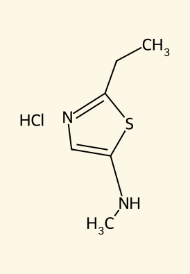 CCc1ncc(NC)s1.Cl